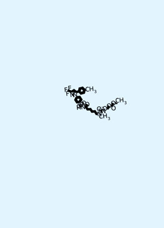 CCOC(=O)OCON=[N+]([O-])N(C)CCCCCC(=O)NS(=O)(=O)c1ccc(-n2nc(C(F)(F)F)cc2-c2ccc(C)cc2)cc1